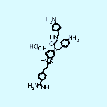 Cl.Cl.Cn1c(CCc2ccc(C(=N)N)cc2)nc2cc(N(Cc3ccc(N)cc3)C(=O)CNCc3ccc(N)cc3)ccc21